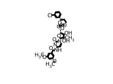 COc1cc(OC)cc(C(=O)Nc2ccn([C@@H]3O[C@H](COP4(=O)OCC[C@@H](c5cccc(Cl)c5)O4)[C@@H](O)[C@@]3(C)O)c(=O)n2)c1